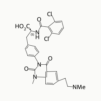 CNCCc1ccc2c(c1)c(=O)n(-c1ccc(C[C@H](NC(=O)c3c(Cl)cccc3Cl)C(=O)O)cc1)c(=O)n2C